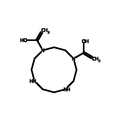 C=C(O)N1CCNCCNCCN(C(=C)O)CC1